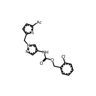 CC(=O)c1ccc(Cn2cc(NC(=O)OCc3ccccc3Cl)cn2)s1